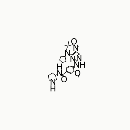 COc1cc(C(=O)NC2CCCNC2)ccc1Nc1ncc2c(n1)N(C1CCCC1)CC(C)(C)C(=O)N2C